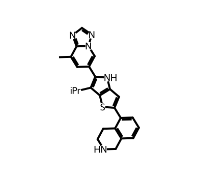 Cc1cc(-c2[nH]c3cc(-c4cccc5c4CCNC5)sc3c2C(C)C)cn2ncnc12